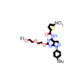 CCOCCOCCOc1nc(NC(=O)c2ccc([N+](=O)[O-])s2)c2cnn(-c3ccc(C(C)(C)C)cc3)c2n1